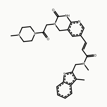 Cc1c(CN(C)C(=O)C=Cc2cnc3c(c2)CN(CC(=O)N2CCN(C)CC2)C(=O)N3)sc2ccccc12